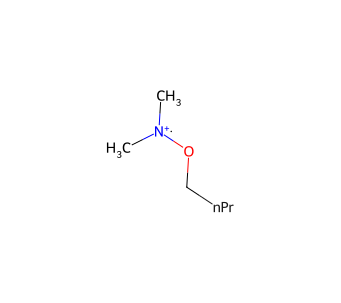 CCCCO[N+](C)C